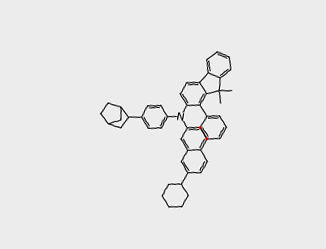 CC1(C)c2ccccc2-c2ccc(N(c3ccc(C4CC5CCC4C5)cc3)c3ccc4ccc(C5CCCCC5)cc4c3)c(-c3ccccc3)c21